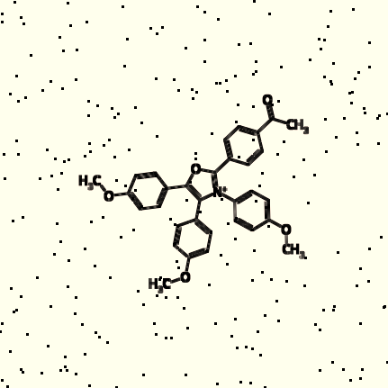 COc1ccc(-c2oc(-c3ccc(C(C)=O)cc3)[n+](-c3ccc(OC)cc3)c2-c2ccc(OC)cc2)cc1